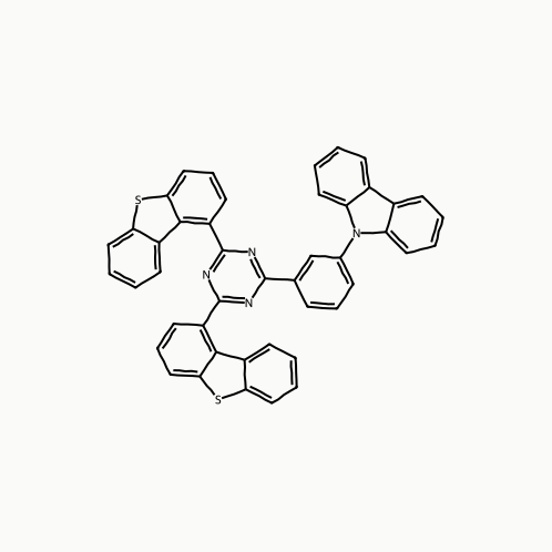 c1cc(-c2nc(-c3cccc4sc5ccccc5c34)nc(-c3cccc4sc5ccccc5c34)n2)cc(-n2c3ccccc3c3ccccc32)c1